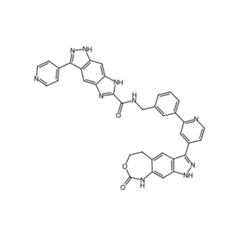 O=C1Nc2cc3[nH]nc(-c4ccnc(-c5cccc(CNC(=O)c6nc7cc8c(-c9ccncc9)n[nH]c8cc7[nH]6)c5)c4)c3cc2CCO1